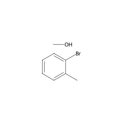 CO.Cc1ccccc1Br